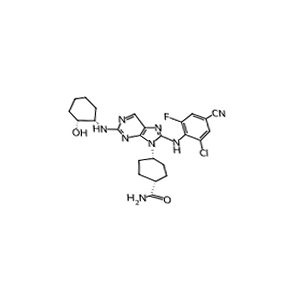 N#Cc1cc(F)c(Nc2nc3cnc(N[C@H]4CCCC[C@H]4O)nc3n2[C@H]2CC[C@@H](C(N)=O)CC2)c(Cl)c1